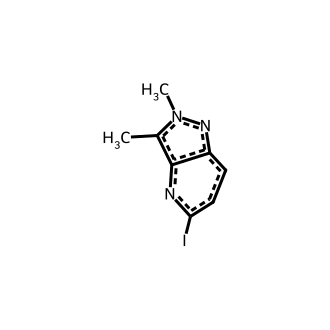 Cc1c2nc(I)ccc2nn1C